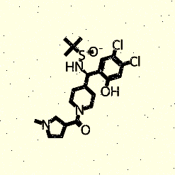 CN1CCC(C(=O)N2CCC([C@@H](N[S+]([O-])C(C)(C)C)c3cc(Cl)c(Cl)cc3O)CC2)C1